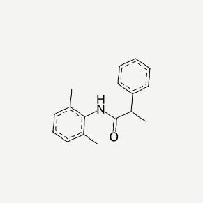 Cc1cccc(C)c1NC(=O)C(C)c1ccccc1